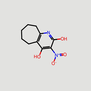 O=[N+]([O-])c1c(O)nc2c(c1O)CCCCC2